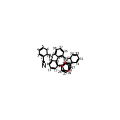 N#CC1=CC=CCC1n1c2cccc(C3C=CC=CC3)c2c2c(N3c4ccccc4C4C=CC=CC43)cccc21